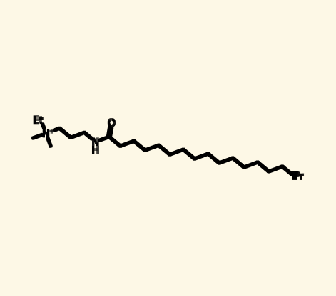 CC[N+](C)(C)CCCNC(=O)CCCCCCCCCCCCCCC(C)C